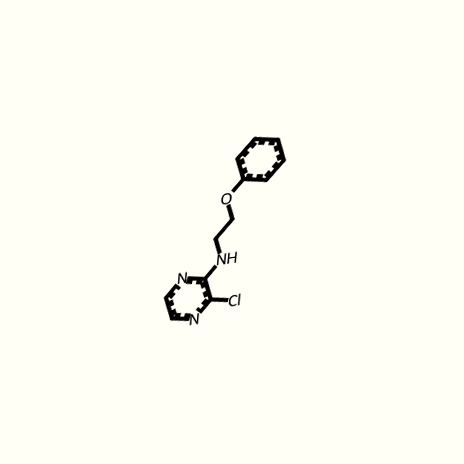 Clc1nccnc1NCCOc1ccccc1